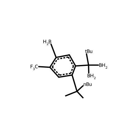 Bc1cc(C(B)(B)C(C)(C)C)c(C(C)(C)CCCC)cc1C(F)(F)F